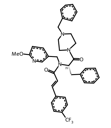 COc1ccc(CN(C(=O)C=Cc2ccc(C(F)(F)F)cc2)[C@@H](Cc2ccccc2)C(=O)N2CCN(Cc3ccccc3)CC2)cn1